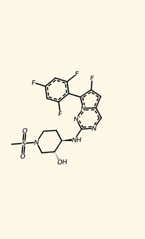 CS(=O)(=O)N1CC[C@@H](Nc2ncc3cc(F)c(-c4c(F)cc(F)cc4F)n3n2)[C@H](O)C1